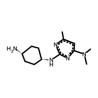 Cc1cc(N(C)C)nc(N[C@H]2CC[C@@H](N)CC2)n1